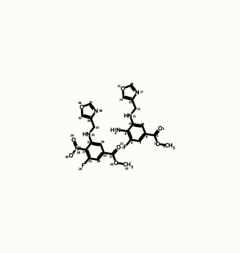 COC(=O)c1cc(F)c(N)c(NCc2cocn2)c1.COC(=O)c1cc(F)c([N+](=O)[O-])c(NCc2cocn2)c1